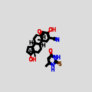 C[C@]12CC[C@H]3[C@@H](CC[C@@]45O[C@@H]4C(O)=C(C#N)C[C@]35C)[C@@H]1CC[C@@H]2O.Cc1cc(=O)[nH]c(=S)[nH]1